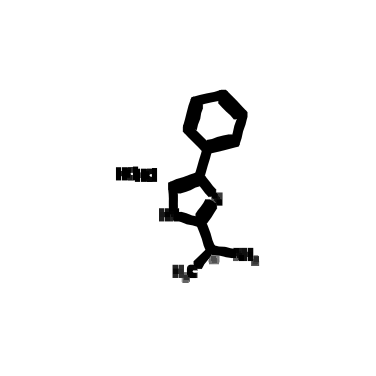 C[C@H](N)c1nc(-c2ccccc2)c[nH]1.Cl.Cl